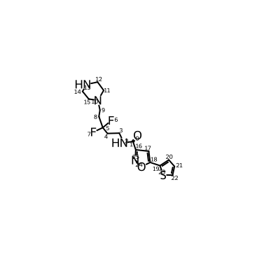 O=C(NCCC(F)(F)CCN1CCNCC1)c1cc(-c2cccs2)on1